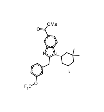 COC(=O)c1ccc2c(c1)nc(Cc1cccc(OC(F)(F)F)c1)n2[C@H]1C[C@@H](C)CC(C)(C)C1